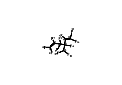 FC(F)=C(F)C(F)(F)C(F)(C(F)=C(F)F)C(F)F